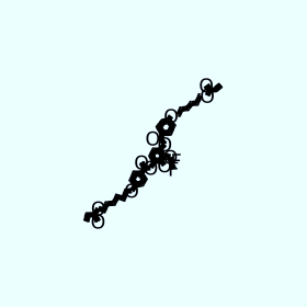 C=CC(=O)OCCCCCCOc1ccc(C(=O)Oc2ccc(OC(=O)c3ccc(OCCCCCCOC(=O)C=C)cc3)c3c2OC(F)(F)O3)cc1